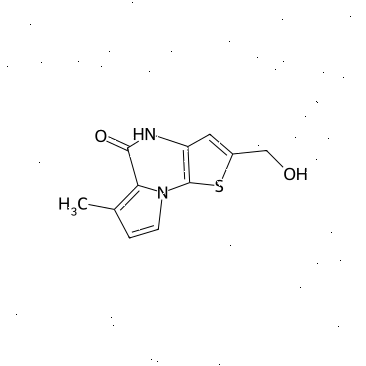 Cc1ccn2c1c(=O)[nH]c1cc(CO)sc12